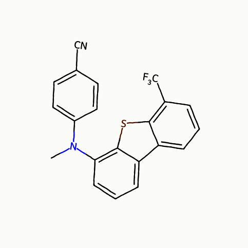 CN(c1ccc(C#N)cc1)c1cccc2c1sc1c(C(F)(F)F)cccc12